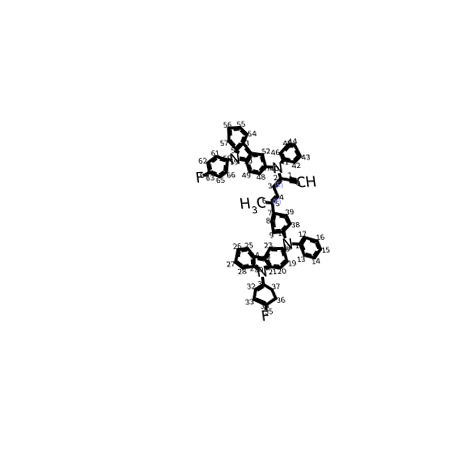 C#C/C(=C\C=C(/C)c1ccc(N(c2ccccc2)c2ccc3c(c2)c2ccccc2n3C2=CC=C(F)CC2)cc1)N(c1ccccc1)c1ccc2c(c1)c1ccccc1n2-c1ccc(F)cc1